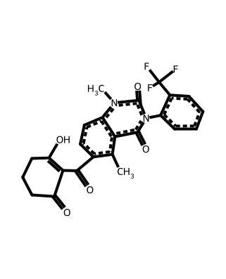 Cc1c(C(=O)C2=C(O)CCCC2=O)ccc2c1c(=O)n(-c1ccccc1C(F)(F)F)c(=O)n2C